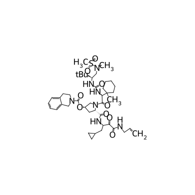 C=CCNC(=O)C(=O)C(CC1CC1)NC(=O)[C@@H]1C[C@@H](OC(=O)N2CCc3ccccc3C2)CN1C(=O)[C@@H](NC(=O)N[C@H](CN(C)S(C)(=O)=O)C(C)(C)C)C1(C)CCCCC1